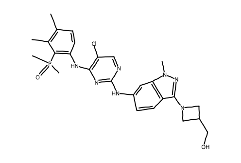 Cc1ccc(Nc2nc(Nc3ccc4c(N5CC(CO)C5)nn(C)c4c3)ncc2Cl)c(P(C)(C)=O)c1C